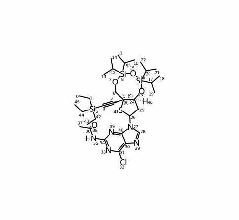 CC[Si](C#C[C@@]12CO[Si](C(C)C)(C(C)C)O[Si](C(C)C)(C(C)C)O[C@H]1CC(n1cnc3c(Cl)nc(NC(C)=O)nc31)S2)(CC)CC